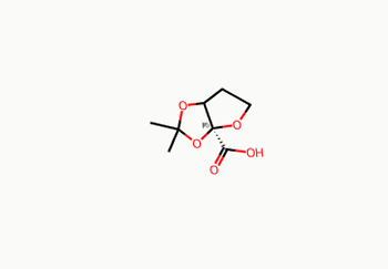 CC1(C)OC2CCO[C@@]2(C(=O)O)O1